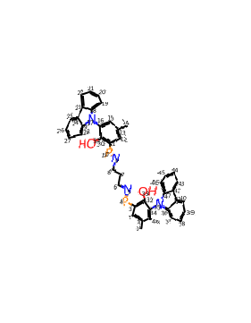 Cc1cc(/P=N/CCC/N=P/c2cc(C)cc(-n3c4ccccc4c4ccccc43)c2O)c(O)c(-n2c3ccccc3c3ccccc32)c1